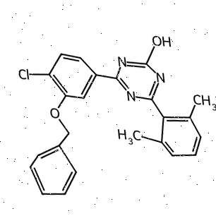 Cc1cccc(C)c1-c1nc(O)nc(-c2ccc(Cl)c(OCc3ccccc3)c2)n1